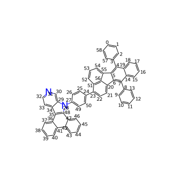 c1ccc(-c2c3c(c(-c4ccccc4)c4ccccc24)-c2ccc(-c4ccc(-n5c6cnccc6c6c7ccccc7c7ccccc7c65)cc4)c4cccc-3c24)cc1